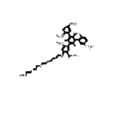 COCCOCCOCCOCCCCOc1cc(OC)c(-c2c(C)c(-c3cc(C(=O)O)ccc3OC)c(C)c(-c3cc(C(=O)O)ccc3OC)c2C)cc1C(=O)OC